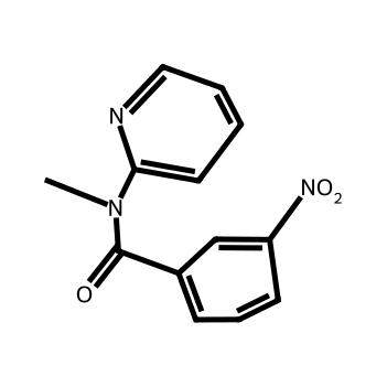 CN(C(=O)c1cccc([N+](=O)[O-])c1)c1ccccn1